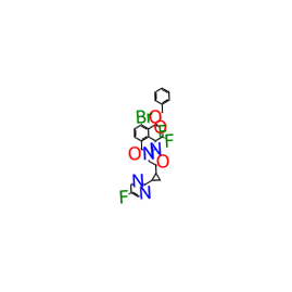 O=C(OCc1ccccc1)c1c(Br)ccc2c(=O)n(CC(=O)C3CC3c3ncc(F)cn3)nc(C(F)F)c12